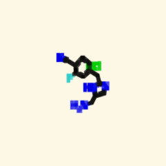 Cl.N#Cc1ccc(Cc2ncc(CN)[nH]2)cc1F